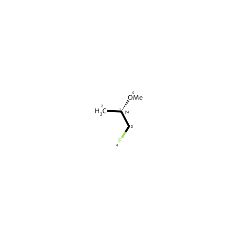 CO[C@@H](C)CF